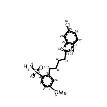 COc1ccc(S(N)(=O)=O)c(CCCCc2nc3ccc(Cl)cc3s2)c1